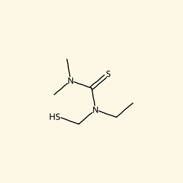 CCN(CS)C(=S)N(C)C